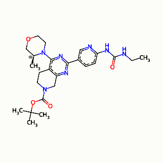 CCNC(=O)Nc1ccc(-c2nc3c(c(N4CCOC[C@@H]4C)n2)CCN(C(=O)OC(C)(C)C)C3)cn1